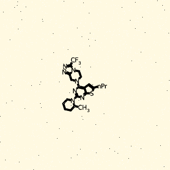 CCCc1cc2c(N3CCn4c(nnc4C(F)(F)F)C3)nc(N3CCCCC3C)nc2s1